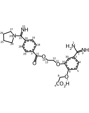 N=C(N)c1ccc(OCC(=O)O)c(OCCOC(=O)c2ccc(C(=N)N3CCCC3)cc2)c1